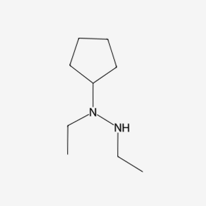 CCNN(CC)C1CCCC1